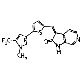 Cn1cc(-c2ccc(C=C3C(=O)Nc4cnccc43)s2)cc1C(F)(F)F